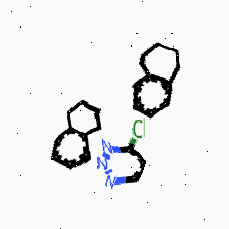 Clc1ccnnn1.c1ccc2c(c1)CCCC2.c1ccc2c(c1)CCCC2